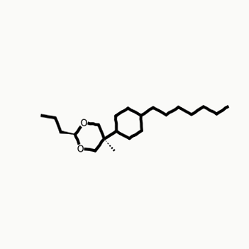 CCCCCCCC1CCC([C@]2(C)CO[C@H](CCC)OC2)CC1